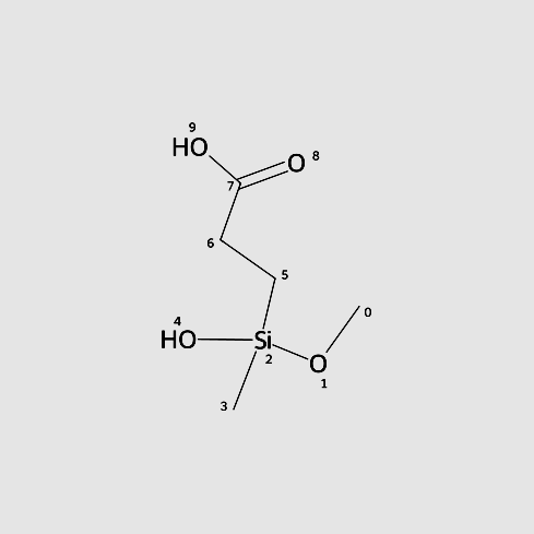 CO[Si](C)(O)CCC(=O)O